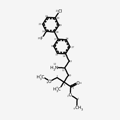 CCOC(=O)C(C)(COC)CC(N)Cc1ccc(-c2cc(Cl)ccc2F)cc1